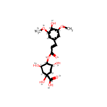 COc1cc(/C=C/C(=O)OC2[C@H](O)CC(O)(C(=O)O)C[C@H]2O)cc(OC)c1O